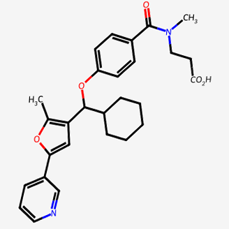 Cc1oc(-c2cccnc2)cc1C(Oc1ccc(C(=O)N(C)CCC(=O)O)cc1)C1CCCCC1